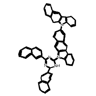 C1=CC2=Cc3c4c(n(-c5ccc6cc7c(cc6c5)c5c(n7C6=NC(c7ccc8ccccc8c7)=NC(c7ccc8c(c7)CCC=C8)N6)CCC=C5)c3CC2C=C1)C=CCC4